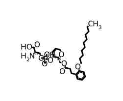 CCCCCCCCCCCOc1ccccc1CCC(=O)OC[C@@H]1OCC=C[C@@H]1OP(=O)(O)OC[C@H](N)C(=O)O